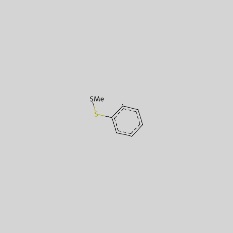 CSSc1[c]cccc1